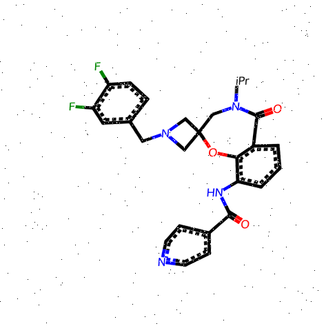 CC(C)N1CC2(CN(Cc3ccc(F)c(F)c3)C2)Oc2c(NC(=O)c3ccncc3)cccc2C1=O